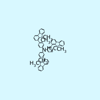 CC1(C)c2ccccc2-c2cccc(-c3ccc(N(c4cccc(-c5cccc6c5C(C)(C)c5ccccc5-6)c4)c4cccc(-c5cccc6c5C(C)(C)c5ccccc5-6)c4)cc3)c21